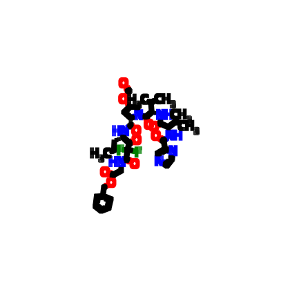 CCC[C@H](NC(=O)[C@@H]1C[C@@H](OC=O)CN1C(=O)[C@@H](NC(=O)[C@@H](NC(=O)c1cnccn1)C(C)C)C(C)C)C(=O)C(F)(F)C(=O)NCC(=O)OCc1ccccc1